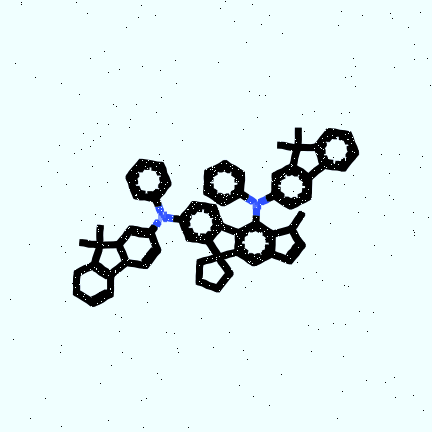 CC1C=Cc2cc3c(c(N(c4ccccc4)c4ccc5c(c4)C(C)(C)c4ccccc4-5)c21)-c1ccc(N(C2=CC4C(C=C2)C2=C(CCC=C2)C4(C)C)c2ccccc2)cc1C31CCCC1